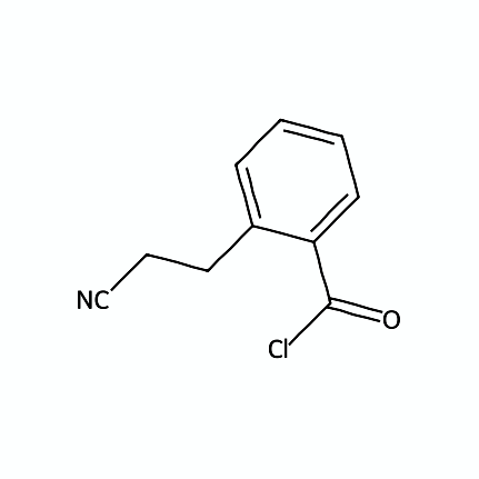 N#CCCc1ccccc1C(=O)Cl